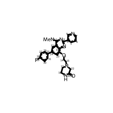 CNc1nc(-c2cccnc2)nc2c(OCCN3CCNC(=O)C3)cc(-c3ccc(F)cc3)cc12